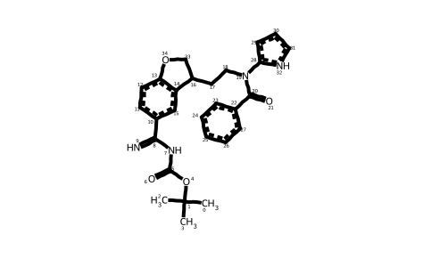 CC(C)(C)OC(=O)NC(=N)c1ccc2c(c1)C(CCN(C(=O)c1ccccc1)c1ccc[nH]1)CO2